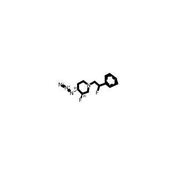 [N-]=[N+]=N[C@@H]1CCN(CC(F)c2ccccc2)C[C@H]1F